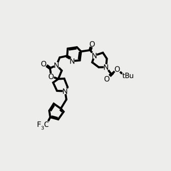 CC(C)(C)OC(=O)N1CCN(C(=O)c2ccc(CN3CC4(CCN(Cc5ccc(C(F)(F)F)cc5)CC4)OC3=O)nc2)CC1